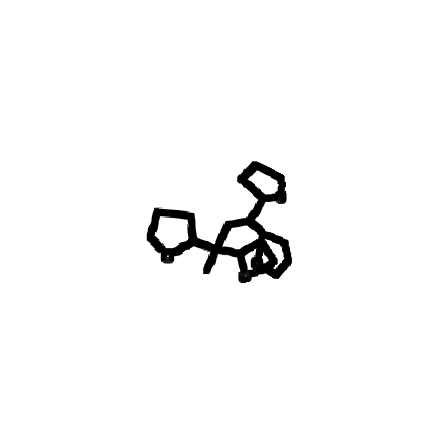 CC(CC(C1CCCO1)C1CCCO1)(C1CCCO1)C1CCCO1